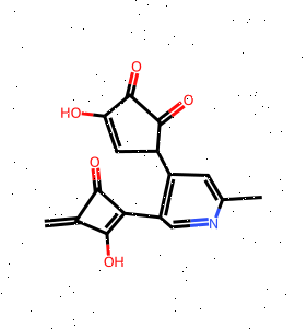 C=C1C(=O)C(c2cnc(C)cc2C2C=C(O)C(=O)C2=O)=C1O